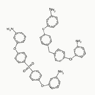 Nc1cccc(Oc2ccc(Cc3ccc(Oc4cccc(N)c4)cc3)cc2)c1.Nc1cccc(Oc2ccc(S(=O)(=O)c3ccc(Oc4cccc(N)c4)cc3)cc2)c1